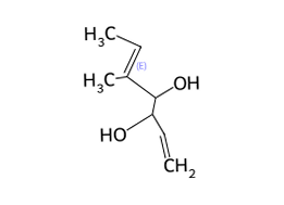 C=CC(O)C(O)/C(C)=C/C